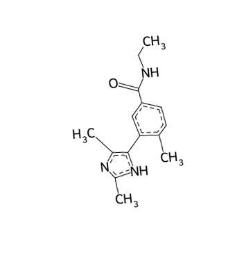 CCNC(=O)c1ccc(C)c(-c2[nH]c(C)nc2C)c1